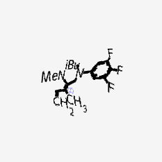 C=C/C(C)=C(/CN(c1cc(F)c(F)c(F)c1)C(C)CC)NC